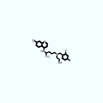 CC(CCCN(CCO)Cc1ccc(F)cc1F)Nc1ccnc2cc(Cl)ccc12